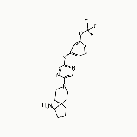 N[C@@H]1CCCC12CCN(c1cnc(Sc3cccc(OC(F)(F)F)c3)cn1)CC2